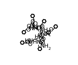 Cc1cc(OCc2ccccc2)cc(C)c1C[C@H](NC(=O)[C@@H](CCCN/C(=N\C(=O)OCc1ccccc1)NC(=O)OCc1ccccc1)NC(=O)OCc1ccccc1)C(=O)N[C@@H](CCCCNC(=O)OCc1ccccc1)C(=O)N[C@@H](Cc1ccccc1)C(N)=O